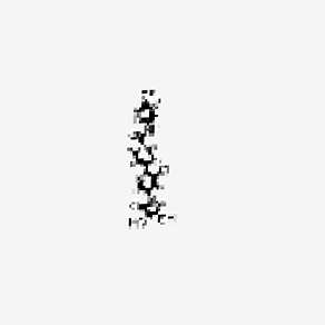 O=C(Nc1ccc(C(F)(F)F)cn1)N1CC=C(c2ncc(N3C[C@@H](O)[C@@H](O)C3=O)cc2Cl)CC1